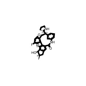 O=C1Nc2cccc(c2)[C@]2([C@@H]3CCCN3)Cc3c(cc(F)c(Cl)c3-c3c1cc1c(c3F)[C@H](O)[C@H](F)C1)O2